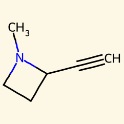 C#CC1CCN1C